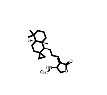 CC1(C)CCC[C@@]2(C)[C@H]1CCC1(CC1)[C@@H]2CC/C=C1/C(=O)OC[C@H]1NC=O